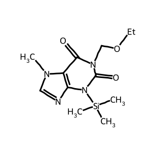 CCOCn1c(=O)c2c(ncn2C)n([Si](C)(C)C)c1=O